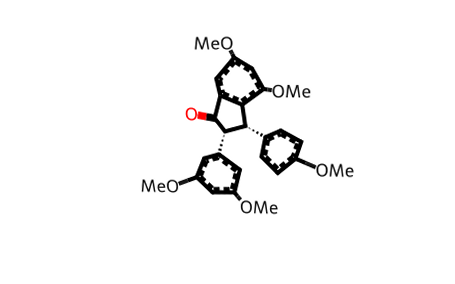 COc1ccc([C@H]2c3c(OC)cc(OC)cc3C(=O)[C@H]2c2cc(OC)cc(OC)c2)cc1